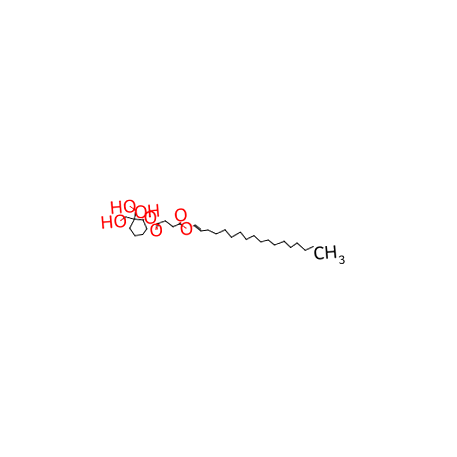 CCCCCCCCCCCCCCCCC=COC(=O)CCC(=O)OC1(O)CCCCC1(CO)CO